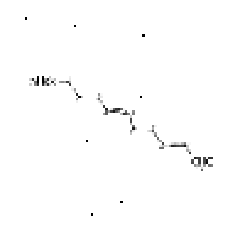 CCCCCCCCCC=CCCC=CC=O